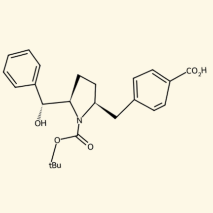 CC(C)(C)OC(=O)N1[C@H](Cc2ccc(C(=O)O)cc2)CC[C@@H]1[C@H](O)c1ccccc1